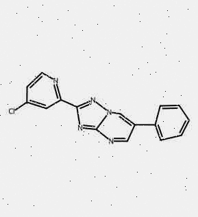 Clc1ccnc(-c2nc3ncc(-c4ccccc4)cn3n2)c1